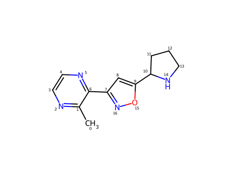 Cc1nccnc1-c1cc(C2CCCN2)on1